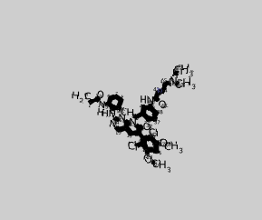 C=CC(=O)Nc1cccc(C)c1Nc1ncc2cc(-c3c(Cl)c(OC)cc(OC)c3Cl)c(=O)n(Cc3cccc(NC(=O)/C=C/CN(C)C)c3)c2n1